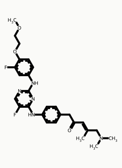 COCCOc1ccc(Nc2ncc(F)c(Nc3ccc(CC(=O)/C=C(\C)CN(C)C)cc3)n2)cc1F